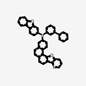 c1ccc(-c2cccc(N(c3ccc4c(ccc5ccc6c7ncccc7oc6c54)c3)c3ccc4c(c3)oc3ccccc34)c2)cc1